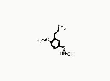 CCCc1cc(SNO)ccc1OC